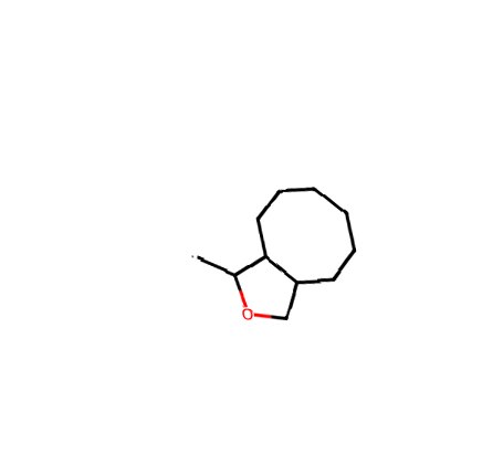 [CH2]C1OCC2CCCCCCC21